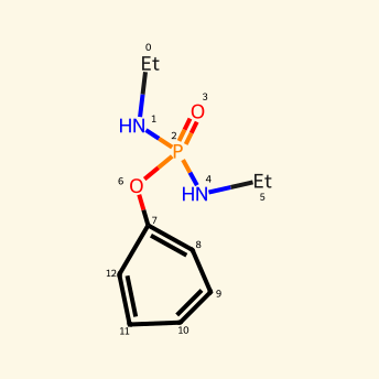 CCNP(=O)(NCC)Oc1ccccc1